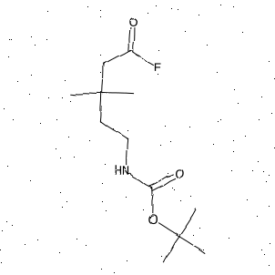 CC(C)(CCNC(=O)OC(C)(C)C)CC(=O)F